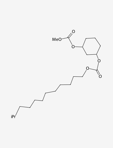 COC(=O)OC1CCCC(OC(=O)OCCCCCCCCCCC(C)C)C1